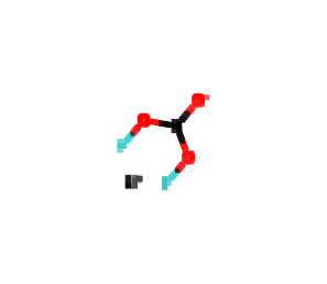 [Li+].[O-]B(OF)OF